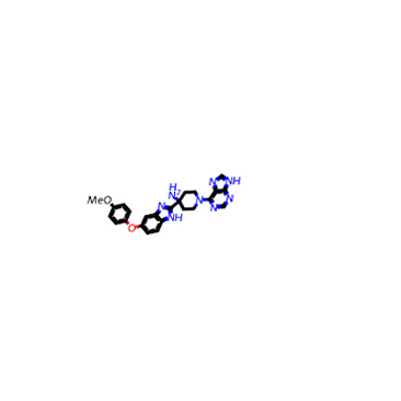 COc1ccc(Oc2ccc3[nH]c(C4(N)CCN(c5ncnc6[nH]cnc56)CC4)nc3c2)cc1